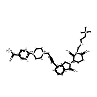 C[Si](C)(C)CCOCN1C(=O)CCC(N2Cc3c(C#CCN4CCN(c5ncc(C(N)=O)cn5)CC4)cccc3C2=O)C1=O